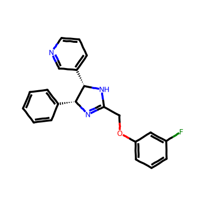 Fc1cccc(OCC2=N[C@H](c3ccccc3)[C@H](c3cccnc3)N2)c1